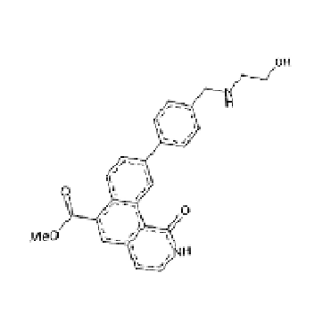 COC(=O)c1cc2cc[nH]c(=O)c2c2cc(-c3ccc(CNCCO)cc3)ccc12